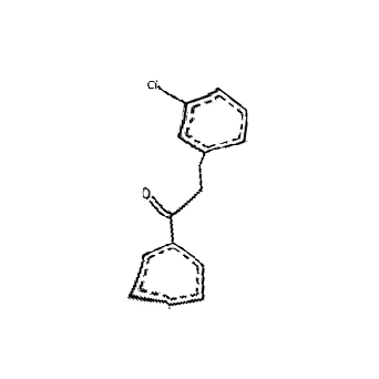 O=C(Cc1cccc(Cl)c1)c1cc[c]cc1